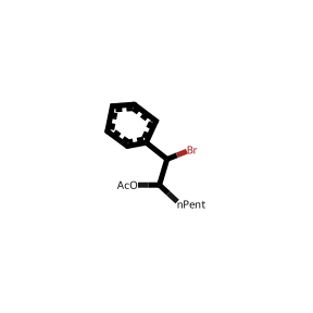 CCCCCC(OC(C)=O)C(Br)c1ccccc1